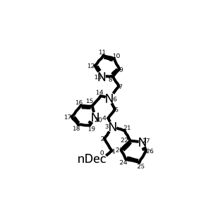 CCCCCCCCCCCCN(CCN(Cc1ccccn1)Cc1ccccn1)Cc1ccccn1